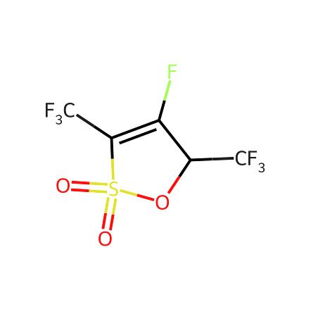 O=S1(=O)OC(C(F)(F)F)C(F)=C1C(F)(F)F